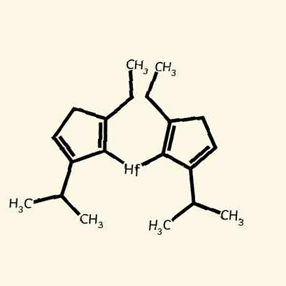 CCC1=[C]([Hf][C]2=C(CC)CC=C2C(C)C)C(C(C)C)=CC1